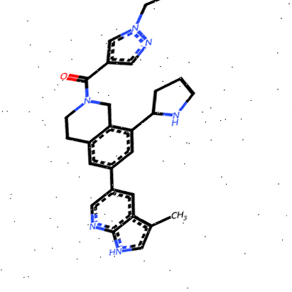 CCn1cc(C(=O)N2CCc3cc(-c4cnc5[nH]cc(C)c5c4)cc(C4CCCN4)c3C2)cn1